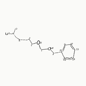 [Li][CH](C)CCCOCOCc1ccccc1